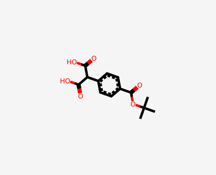 CC(C)(C)OC(=O)c1ccc(C(C(=O)O)C(=O)O)cc1